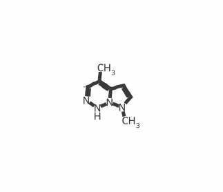 CC1=C2C=CN(C)N2NN=[C]1